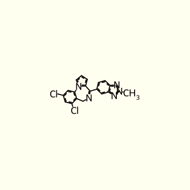 Cn1nc2ccc(C3=NCc4c(Cl)cc(Cl)cc4-n4cccc43)cc2n1